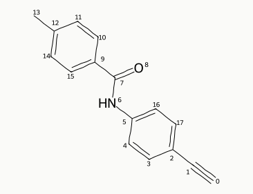 C#Cc1ccc(NC(=O)c2ccc(C)cc2)cc1